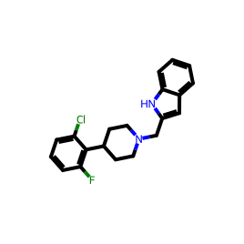 Fc1cccc(Cl)c1C1CCN(Cc2cc3ccccc3[nH]2)CC1